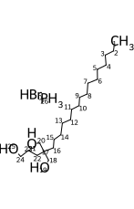 Br.CCCCCCCCCCCCCCCCC(CO)(CO)CCCO.P